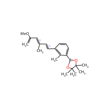 C=C(/C=C(C)/C=C/c1cccc(B2OC(C)(C)C(C)(C)O2)c1C)OC